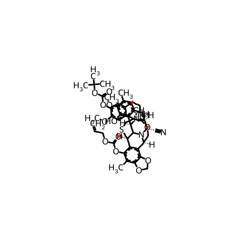 C=CCOC(=O)Oc1c(C)c2c(c3c1[C@H]1SC[C@]4(NCCc5cc(OC(=O)OC(C)(C)C)c(OC)cc54)C(=O)OC[C@@H]3N3C1[C@H]1c4c(cc(C)c(OC)c4O)C[C@@H]([C@@H]3C#N)N1C)OCO2